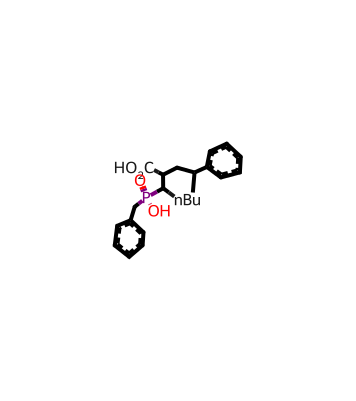 CCCCC(C(CC(C)c1ccccc1)C(=O)O)P(=O)(O)Cc1ccccc1